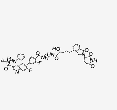 O=C1CCC(N2Cc3c(CCCC(O)C(=O)NCCNC(=O)c4ccc(-c5cc6c(Nc7ccccc7)c(C(=O)NC7CC7)cnc6cc5F)cc4F)cccc3C2=O)C(=O)N1